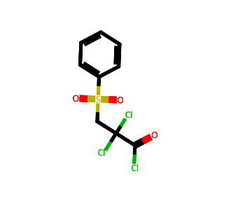 O=C(Cl)C(Cl)(Cl)CS(=O)(=O)c1ccccc1